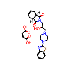 O=C(O)/C=C\C(=O)O.O=C1[C@H]2CC=CC[C@H]2C(=O)N1CC(O)CN1CCN(c2nc3ccccc3s2)CC1